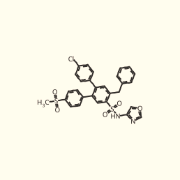 CS(=O)(=O)c1ccc(-c2cc(S(=O)(=O)Nc3cocn3)c(Cc3ccccc3)cc2-c2ccc(Cl)cc2)cc1